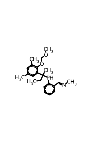 CCC(C)(Pc1ccccc1/C=N/C)c1cc(C)cc(C)c1OCOC